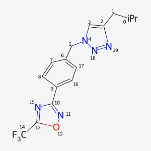 CC(C)Cc1cn(Cc2ccc(-c3noc(C(F)(F)F)n3)cc2)nn1